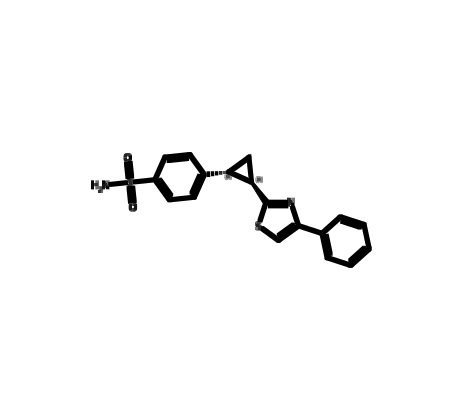 NS(=O)(=O)c1ccc([C@@H]2C[C@H]2c2nc(-c3ccccc3)cs2)cc1